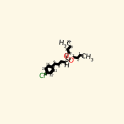 CCCCO[SiH](CCCCc1ccc(Cl)cc1)OCCCC